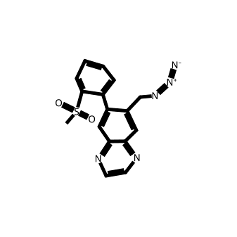 CS(=O)(=O)c1ccccc1-c1cc2nccnc2cc1CN=[N+]=[N-]